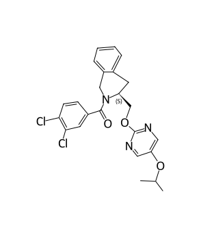 CC(C)Oc1cnc(OC[C@@H]2Cc3ccccc3CN2C(=O)c2ccc(Cl)c(Cl)c2)nc1